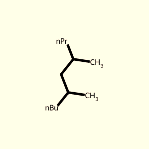 CCCC[C](C)CC(C)CCC